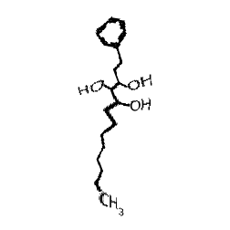 CCCCCCCCC(O)C(O)C(O)CCc1ccccc1